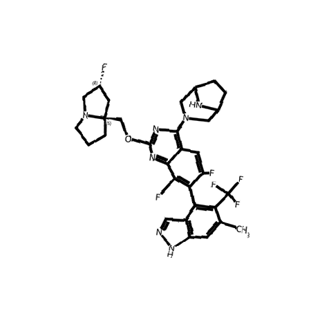 Cc1cc2[nH]ncc2c(-c2c(F)cc3c(N4CC5CCC(C4)N5)nc(OC[C@@]45CCCN4C[C@H](F)C5)nc3c2F)c1C(F)(F)F